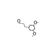 COc1cc(CC[C]=O)cc(OC)c1